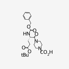 CC(C)(C)OC(=O)CC[C@H](NC(=O)OCc1ccccc1)C(=O)N1CCN(C(=O)O)CC1